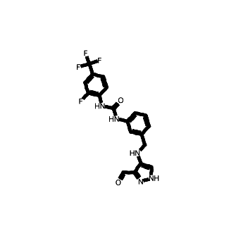 O=Cc1n[nH]cc1NCc1cccc(NC(=O)Nc2ccc(C(F)(F)F)cc2F)c1